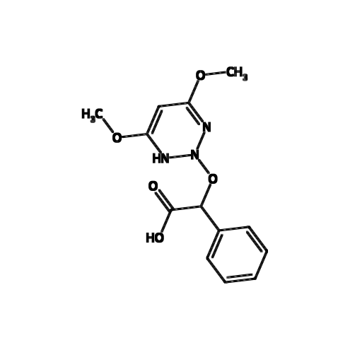 COC1=CC(OC)=NN(OC(C(=O)O)c2ccccc2)N1